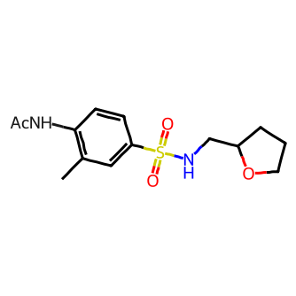 CC(=O)Nc1ccc(S(=O)(=O)NCC2CCCO2)cc1C